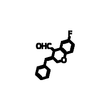 O=CC1C(=Cc2ccccc2)COc2ccc(F)cc21